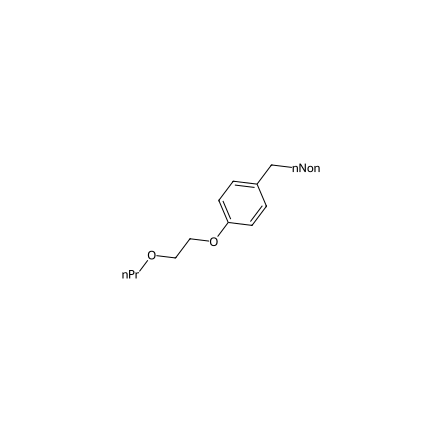 CCCCCCCCCCc1ccc(OCCOCCC)cc1